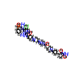 COc1cc(N2CCC(N3CCN(C(=O)CC4CCN(c5ccc(C6CCC(=O)NC6=O)cc5)CC4)CC3)CC2)ccc1Nc1ncc(Cl)c(Nc2ccccc2P(C)(C)=O)n1